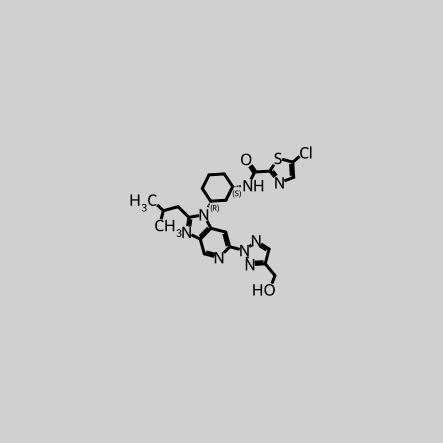 CC(C)Cc1nc2cnc(-n3ncc(CO)n3)cc2n1[C@@H]1CCC[C@H](NC(=O)c2ncc(Cl)s2)C1